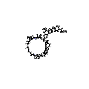 C=C1[C@H](C)C[C@H](C)/C=C/C=C/C=C(\C)[C@@H](OC)C[C@@H]2CC[C@@H](C)[C@@](O)(O2)C(=O)C(=O)N2CCCC[C@H]2C(=O)O[C@H]([C@H](C)C[C@@H]2CC[C@@H](OC(=O)CN3CCC(CCO)CC3)[C@H](OC)C2)CC(=O)[C@H](C)/C=C(\C)[C@@H](O)[C@H]1OC